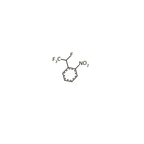 O=[N+]([O-])c1ccccc1C(F)C(F)(F)F